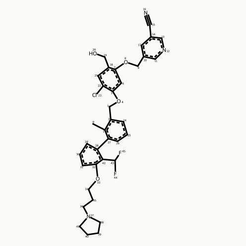 Cc1c(COc2cc(OCc3cncc(C#N)c3)c(CO)cc2Cl)cccc1-c1cccc(OCCCN2CCCC2)c1C(F)F